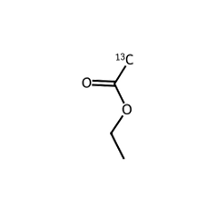 CCOC([13CH3])=O